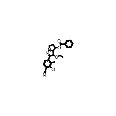 CCOC1C(c2ccc(C#N)c(Cl)c2C)=NN2CCC(OC(=O)c3ccccc3)C12